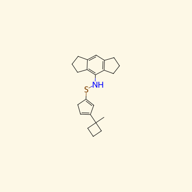 CC1(C2=CCC(SNc3c4c(cc5c3CCC5)CCC4)=C2)CCC1